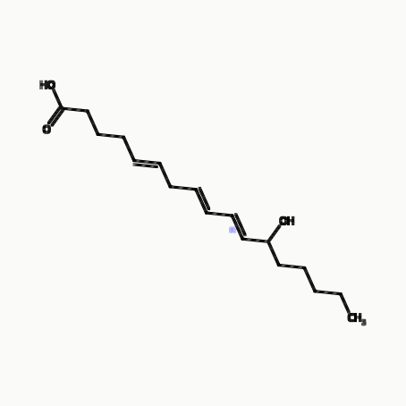 CCCCCC(O)/C=C/C=CCC=CCCCC(=O)O